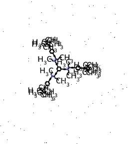 CCC/C(C#Cc1ccc(C#C[Si](C(C)C)(C(C)C)C(C)C)cc1)=C(\C#Cc1cc(C#C/C(CCC)=C(/C#Cc2ccc(C#C[Si](C(C)C)(C(C)C)C(C)C)cc2)CCC)cc(C#C/C(CCC)=C(/C#Cc2ccc(C#C[Si](C(C)C)(C(C)C)C(C)C)cc2)CCC)c1)CCC